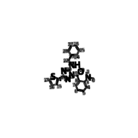 CN(C)c1ccccc1C(=O)n1nc(-c2cccs2)nc1NCc1ccccc1